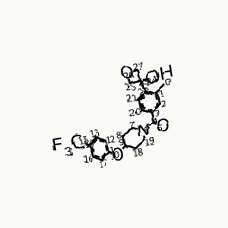 Cc1cc(C(=O)N2CCC(Oc3ccc(C(F)(F)F)cc3)CC2)ccc1C1(O)COC1